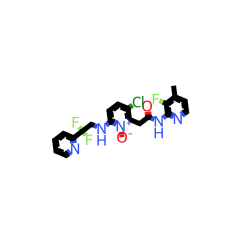 Cc1ccnc(NC(=O)Cc2c(Cl)ccc(NCC(F)(F)c3ccccn3)[n+]2[O-])c1F